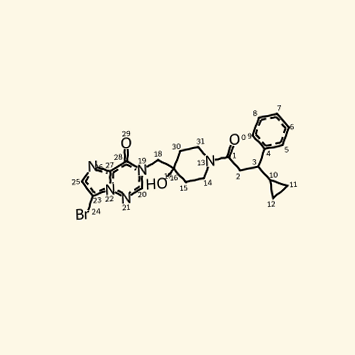 O=C(CC(c1ccccc1)C1CC1)N1CCC(O)(Cn2cnn3c(Br)cnc3c2=O)CC1